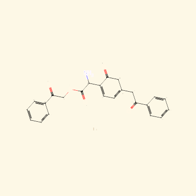 Br.NC(C(=O)OCC(=O)c1ccccc1)C1=CC=C(CC(=O)c2ccccc2)CC1=O